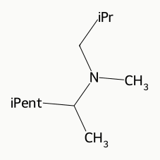 CCCC(C)C(C)N(C)CC(C)C